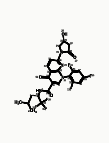 CC(C)C[C@H](NC(=O)c1cn(-c2c(F)cc(F)cc2F)c2nc(N3C[C@@H](O)CC3=O)ccc2c1=O)C(F)(F)F